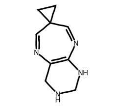 C1=NC2=C(N=CC13CC3)NCNC2